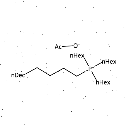 CC(=O)[O-].CCCCCCCCCCCCCC[P+](CCCCCC)(CCCCCC)CCCCCC